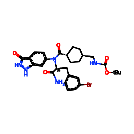 CC(C)(C)OC(=O)NC[C@H]1CC[C@H](C(=O)N(c2ccc3c(=O)[nH][nH]c3c2)[C@@H](Cc2cccc(Br)c2)C(N)=O)CC1